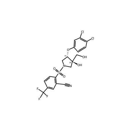 N#Cc1cc(C(F)(F)F)ccc1S(=O)(=O)N1C[C@H](Oc2ccc(Cl)c(Cl)c2)[C@](O)(CO)C1